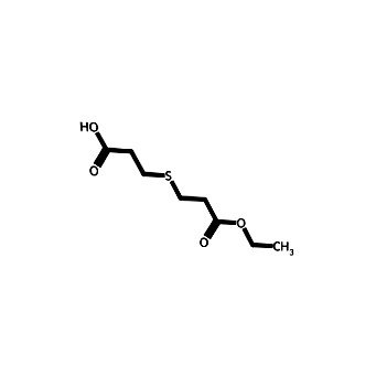 CCOC(=O)CCSCCC(=O)O